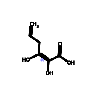 C=CC/C(O)=C(/O)C(=O)O